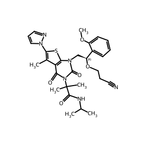 COc1ccccc1[C@H](Cn1c(=O)n(C(C)(C)C(=O)NC(C)C)c(=O)c2c(C)c(-n3cccn3)sc21)OCCC#N